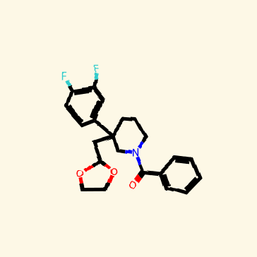 O=C(c1ccccc1)N1CCCC(CC2OCCO2)(c2ccc(F)c(F)c2)C1